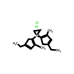 CCC1=CC(C)=[C]([Ti+2]2([C]3=C(C)C=C(CC)C3)[CH2][CH2]2)C1.[Cl-].[Cl-]